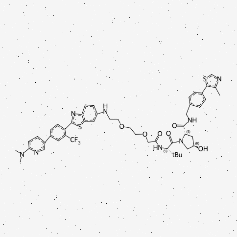 Cc1ncsc1-c1ccc(CNC(=O)[C@@H]2C[C@@H](O)CN2C(=O)[C@@H](NC(=O)COCCOCCNc2ccc3nc(-c4ccc(-c5ccc(N(C)C)nc5)cc4C(F)(F)F)sc3c2)C(C)(C)C)cc1